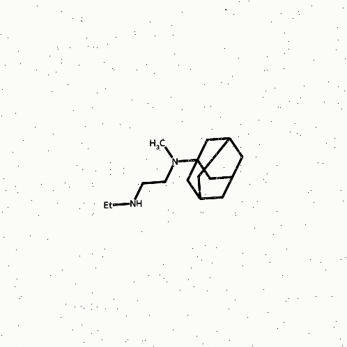 CCNCCN(C)C12CC3CC(CC(C3)C1)C2